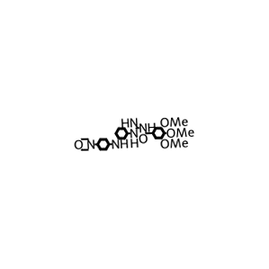 COc1cc(C(=O)NC(=N)Nc2cccc(Nc3ccc(N4CCOCC4)cc3)c2)cc(OC)c1OC